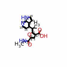 CNC(=O)c1cc(C(=O)O)c(C(C)c2ccnc3[nH]ccc23)o1